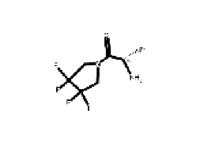 CC(C)[C@H](N)C(=O)N1CC(F)(F)C(F)(F)C1